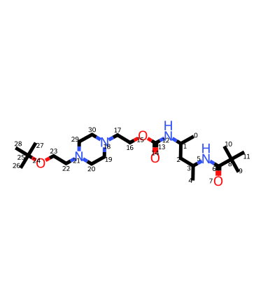 CC(CC(C)NC(=O)C(C)(C)C)NC(=O)OCCN1CCN(CCOC(C)(C)C)CC1